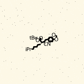 CC(C)CCCCC[C@H](C(=O)OC(C)(C)C)[C@@H](C#N)Cc1ccc2c(c1)OCO2